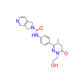 CC1CC(=O)N(CCO)N=C1c1ccc(NC(=O)N2Cc3ccncc3C2)cc1